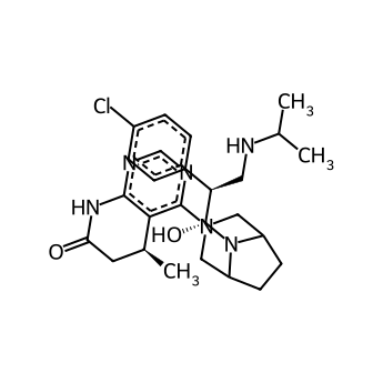 CC(C)NC[C@H](c1ccc(Cl)cc1)[C@@H](O)N1C2CCC1CN(c1ncnc3c1[C@@H](C)CC(=O)N3)C2